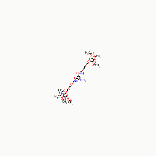 CC(=O)N[C@H]1C(OCCOCCOCCNC(=O)c2cc(N)cc(C(=O)NCCOCCOCCOC3C[C@@H](OC(C)=O)[C@@H](OC(C)=O)[C@@H](COC(C)=O)O3)c2)O[C@H](COC(C)=O)[C@H](OC(C)=O)[C@@H]1OC(C)=O